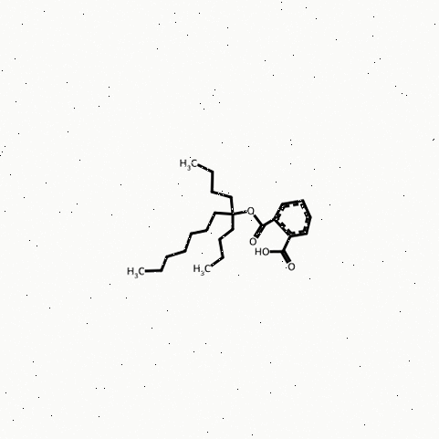 CCCCCCCC(CCCC)(CCCC)OC(=O)c1ccccc1C(=O)O